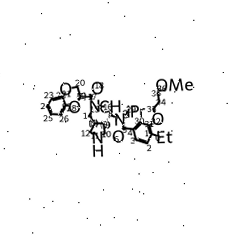 CCc1ccc(C(=O)N(C[C@@H]2CNC[C@H]2CN(C)C(=O)[C@@H]2COc3ccccc3O2)C(C)C)cc1OCCCOC